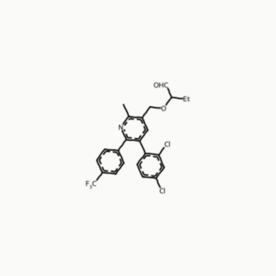 CCC(C=O)OCc1cc(-c2ccc(Cl)cc2Cl)c(-c2ccc(C(F)(F)F)cc2)nc1C